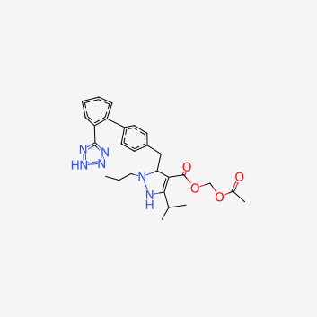 CCCN1NC(C(C)C)=C(C(=O)OCOC(C)=O)C1Cc1ccc(-c2ccccc2-c2nn[nH]n2)cc1